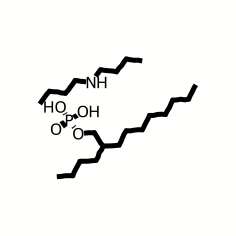 CCCCCCCCC(CCCC)COP(=O)(O)O.CCCCNCCCC